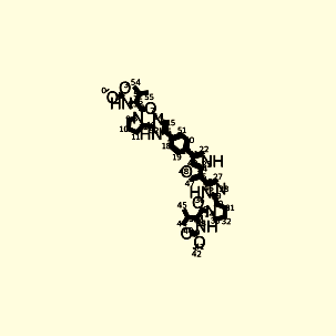 COC(=O)N[C@H](C(=O)N1CCCC1c1ncc(-c2ccc(-c3c[nH]c4c(-c5cnc(C6CCCN6C(=O)[C@@H](NC(=O)OC)C(C)C)[nH]5)coc34)cc2)[nH]1)C(C)C